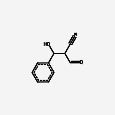 N#CC(C=O)C(O)c1ccccc1